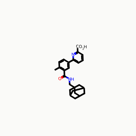 Cc1ccc(-c2cccc(C(=O)O)n2)cc1C(=O)NCC12CC3CC(CC(C3)C1)C2